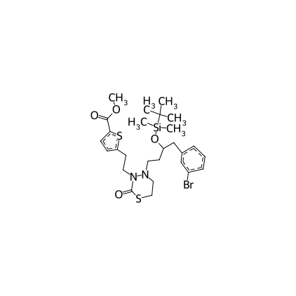 COC(=O)c1ccc(CCN2C(=O)SCCN2CCC(Cc2cccc(Br)c2)O[Si](C)(C)C(C)(C)C)s1